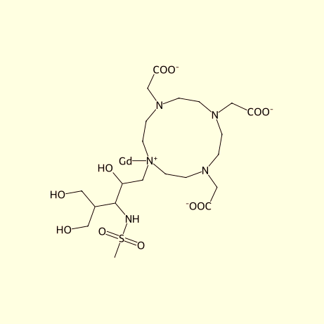 CS(=O)(=O)NC(C(O)C[N+]1([Gd])CCN(CC(=O)[O-])CCN(CC(=O)[O-])CCN(CC(=O)[O-])CC1)C(CO)CO